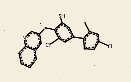 Cc1cc(Cl)ccc1-c1cc(S)c(Cc2cnc3ccccc3c2)c(Cl)c1